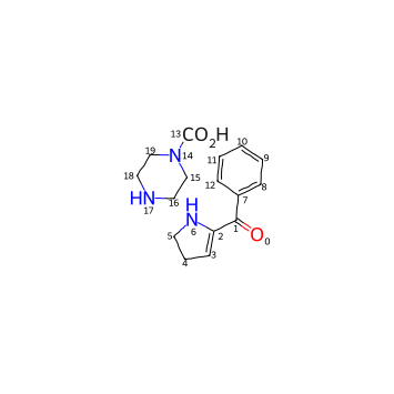 O=C(C1=CCCN1)c1ccccc1.O=C(O)N1CCNCC1